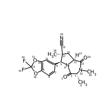 C[C@@H]1C(=O)N2[C@@H](c3ccc4c(c3)OC(F)(F)O4)[C@@](C)(C#N)C[C@H]2C(=O)N1C